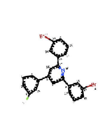 Fc1cccc(-c2cc(-c3cccc(Br)c3)nc(-c3cccc(Br)c3)c2)c1